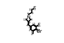 Cc1cc(C=C2CN(CCCF)C2)cc(F)c1Br